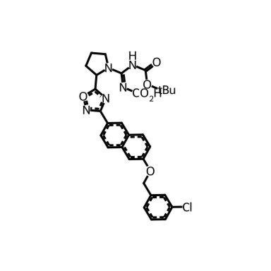 CC(C)(C)OC(=O)NC(=NC(=O)O)N1CCCC1c1nc(-c2ccc3cc(OCc4cccc(Cl)c4)ccc3c2)no1